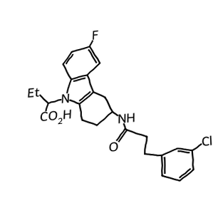 CCC(C(=O)O)n1c2c(c3cc(F)ccc31)CC(NC(=O)CCc1cccc(Cl)c1)CC2